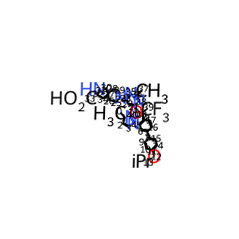 Cc1ccn(-c2cc(-c3ccc(OC(C)C)cc3)ccc2[C@@H](Oc2cc(N3CCC4(CC3)CNC(C(=O)O)C4)nc(C)n2)C(F)(F)F)n1